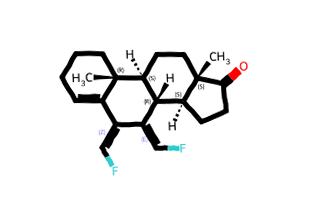 C[C@]12CCCC=C1C(=C/F)/C(=C/F)[C@@H]1[C@@H]2CC[C@]2(C)C(=O)CC[C@@H]12